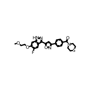 COCCOc1cc2[nH]nc(-c3cc(-c4ccc(C(=O)N5CCSCC5)cc4)no3)c2cc1F